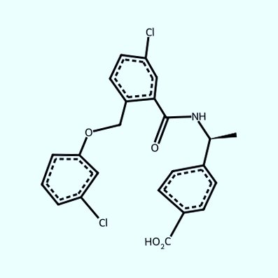 C[C@H](NC(=O)c1cc(Cl)ccc1COc1cccc(Cl)c1)c1ccc(C(=O)O)cc1